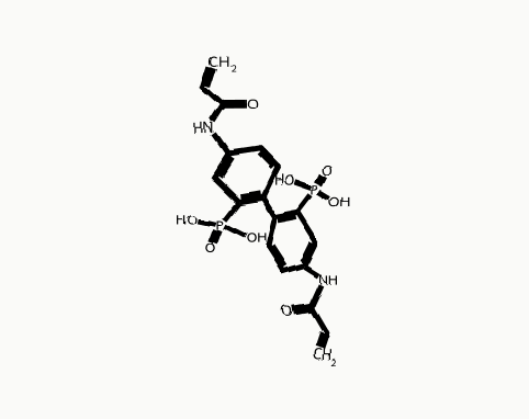 C=CC(=O)Nc1ccc(-c2ccc(NC(=O)C=C)cc2P(=O)(O)O)c(P(=O)(O)O)c1